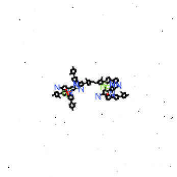 Cc1ccc(-c2ccc3c(c2)c2cc(-c4ccc(CCc5ccc(-c6ccc7c8ccccc8n(-c8cc(-c9ccc(C#N)cc9C(F)(F)F)c(-n9c%10ccccc%10c%10ccc(-c%11ccc(C)cc%11C)cc%109)cc8C#N)c7c6)c(C)c5)cc4C)ccc2n3-c2cc(-c3ccc(C#N)cc3C(F)(F)F)c(-n3c4ccc(-c5ccc(C)cc5C)cc4c4cc(-c5ccc(C)cc5C)ccc43)cc2C#N)c(C)c1